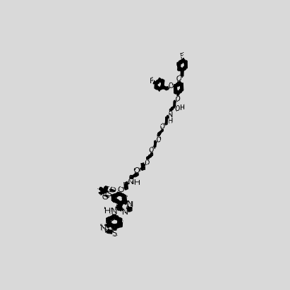 CC(C)(C)S(=O)(=O)c1cc2c(Nc3ccc4scnc4c3)ncnc2cc1OCCNCCOCCOCCOCCOCCOCCNCC(O)COc1ccc(OCc2ccc(F)cc2)c(OCc2ccc(F)cc2)c1